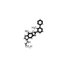 Cc1c(-c2ccccc2)cccc1-c1nc2cc3c(c(C#N)c2o1)CC[C@H]3NCC(=O)O